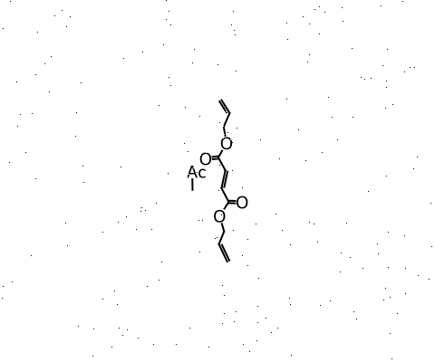 C=CCOC(=O)/C=C/C(=O)OCC=C.CC(C)=O